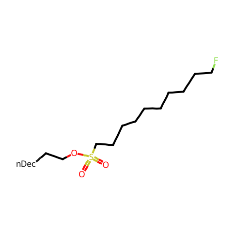 CCCCCCCCCCCCOS(=O)(=O)CCCCCCCCCCF